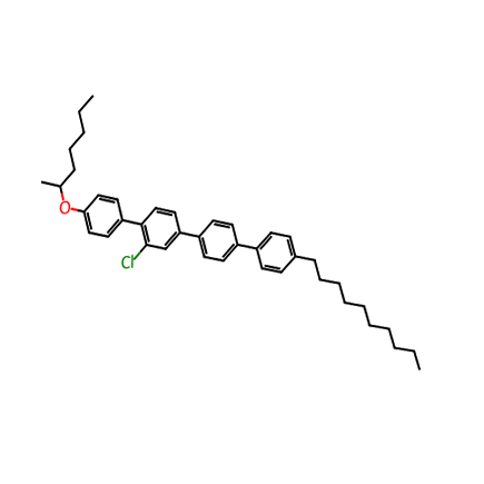 CCCCCCCCCCc1ccc(-c2ccc(-c3ccc(-c4ccc(OC(C)CCCCC)cc4)c(Cl)c3)cc2)cc1